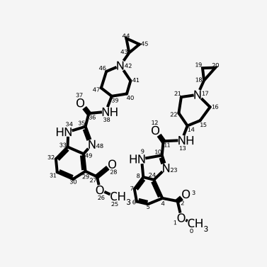 COC(=O)c1cccc2[nH]c(C(=O)NC3CCN(C4CC4)CC3)nc12.COC(=O)c1cccc2[nH]c(C(=O)NC3CCN(C4CC4)CC3)nc12